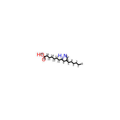 CCCCCCC(CN)CCCCCCCCC(=O)O